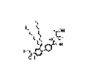 CC(O)CO.CCCCCCCCC1(CCCCCCCC)c2cc(B(O)O)ccc2-c2ccc(B(O)O)cc21